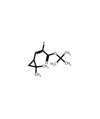 CC(C)(C)OC(=O)/C(F)=C\C1CC1(C)C